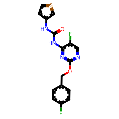 O=C(Nc1ccsc1)Nc1nc(OCc2ccc(F)cc2)ncc1F